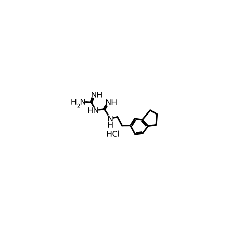 Cl.N=C(N)NC(=N)NCCc1ccc2c(c1)CCC2